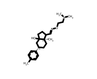 Cc1ccc([C@H]2CC[C@]3(C)C(C=NOCCN(C)C)CCC3(O)C2)cc1